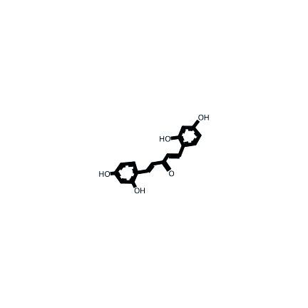 O=C(/C=C/c1ccc(O)cc1O)/C=C/c1ccc(O)cc1O